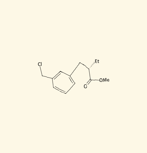 CC[C@@H](Cc1cccc(CCl)c1)C(=O)OC